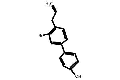 C=CCc1ccc(-c2ccc(O)cc2)cc1Br